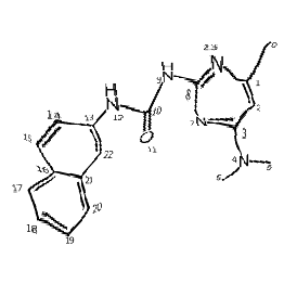 Cc1cc(N(C)C)nc(NC(=O)Nc2ccc3ccccc3c2)n1